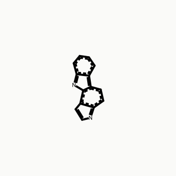 C1=Cc2c3c(ccc2=N1)=c1ccccc1=N3